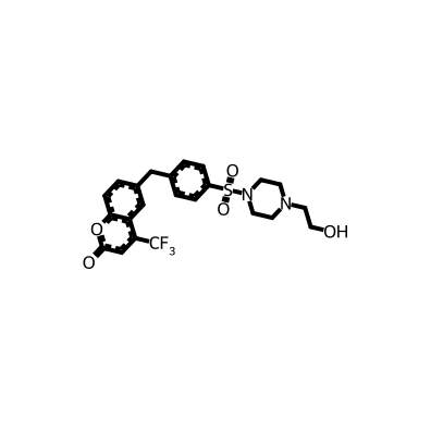 O=c1cc(C(F)(F)F)c2cc(Cc3ccc(S(=O)(=O)N4CCN(CCO)CC4)cc3)ccc2o1